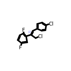 Fc1ccc(F)c(/C(=C/c2ccc(Cl)cc2)CCl)c1